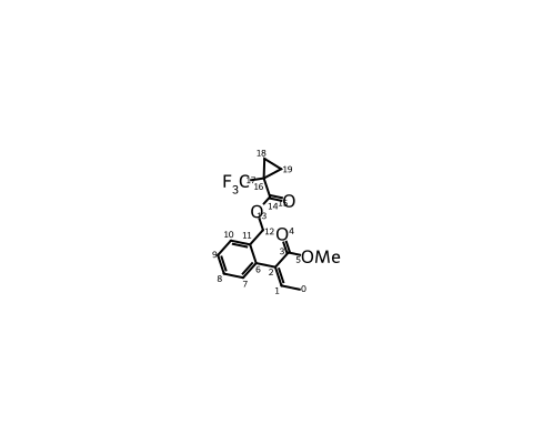 CC=C(C(=O)OC)c1ccccc1COC(=O)C1(C(F)(F)F)CC1